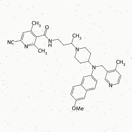 COc1ccc2cc(N(Cc3cnccc3C)C3CCN(C(C)CCNC(=O)c4c(C)cc(C#N)nc4C)CC3)ccc2c1